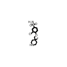 NS(=O)(=O)c1ccc(OCC2(F)CCNCC2)c(Cl)c1